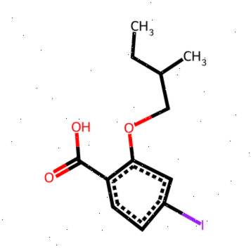 CCC(C)COc1cc(I)ccc1C(=O)O